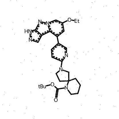 CCOc1cc(-c2ccc(N3CCC4(CCCCN4C(=O)OC(C)(C)C)C3)nc2)c2c3cn[nH]c3nn2c1